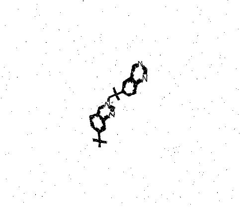 CC(C)(C)c1ccc2c[n+](CC(C)(C)c3ccc4ncncc4c3)cnc2c1